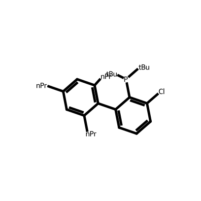 CCCc1cc(CCC)c(-c2cccc(Cl)c2P(C(C)(C)C)C(C)(C)C)c(CCC)c1